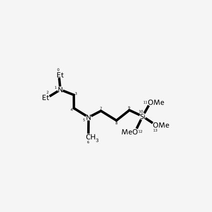 CCN(CC)CCN(C)CCC[Si](OC)(OC)OC